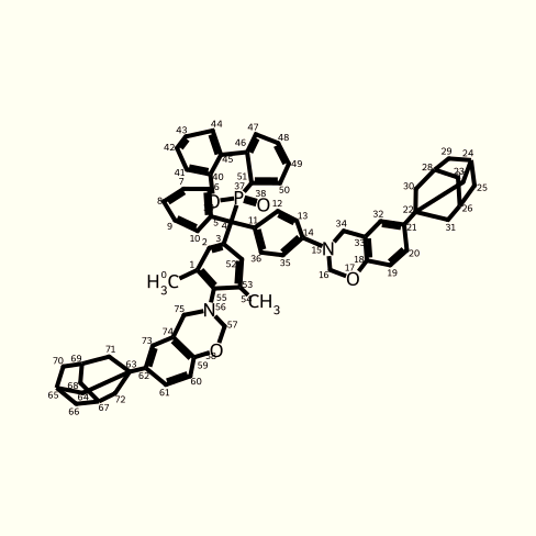 Cc1cc(C(c2ccccc2)(c2ccc(N3COc4ccc(C56CC7CC(CC(C7)C5)C6)cc4C3)cc2)P2(=O)Oc3ccccc3-c3ccccc32)cc(C)c1N1COc2ccc(C34CC5CC(CC(C5)C3)C4)cc2C1